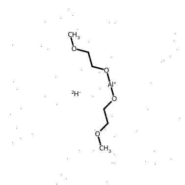 COCC[O][Al+][O]CCOC.[2H-]